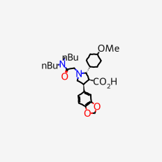 CCCCN(CCCC)C(=O)CN1C[C@H](c2ccc3c(c2)OCO3)[C@H](C(=O)O)[C@H]1C1CCC(OC)CC1